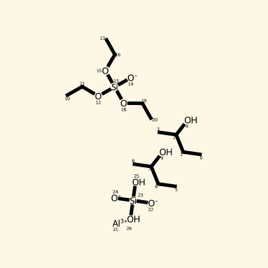 CCC(C)O.CCC(C)O.CCO[Si]([O-])(OCC)OCC.[Al+3].[O-][Si]([O-])(O)O